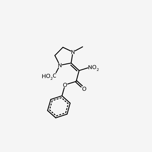 CN1CCN(C(=O)O)C1=C(C(=O)Oc1ccccc1)[N+](=O)[O-]